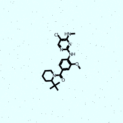 CNc1nc(Nc2ccc(C(=O)N3CCCCC3C(C)(C)C)cc2OC)ncc1Cl